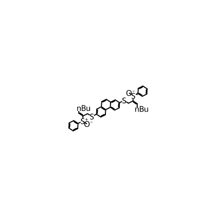 CCCC/C=C(\CSc1ccc2c(ccc3cc(SC/C(=C\CCCC)[S+]([O-])c4ccccc4)ccc32)c1)[S+]([O-])c1ccccc1